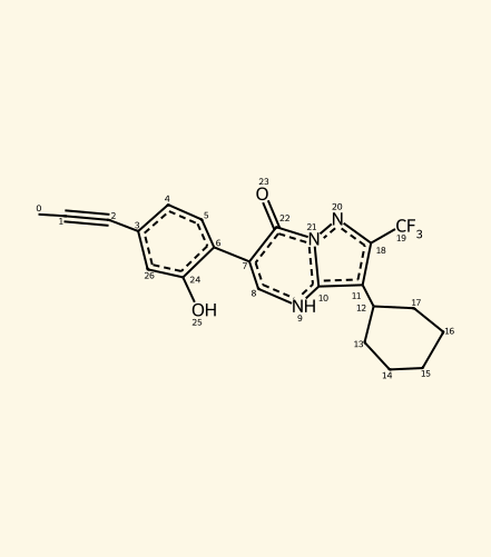 CC#Cc1ccc(-c2c[nH]c3c(C4CCCCC4)c(C(F)(F)F)nn3c2=O)c(O)c1